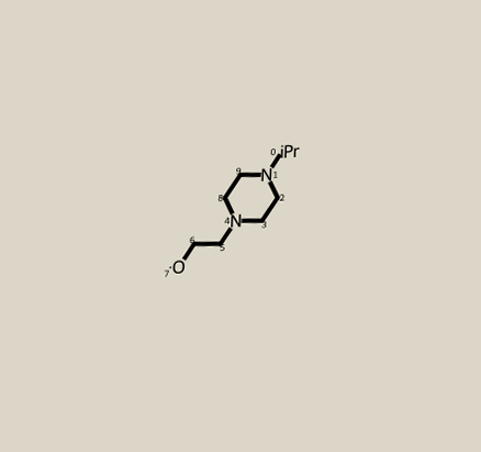 CC(C)N1CCN(CC[O])CC1